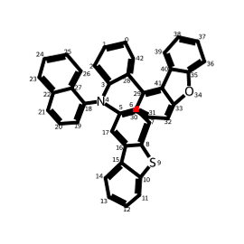 c1ccc(N(c2ccc3sc4ccccc4c3c2)c2cccc3ccccc23)c(-c2cccc3oc4ccccc4c23)c1